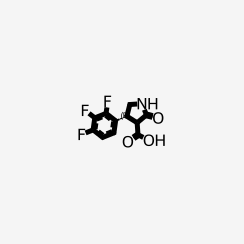 O=C(O)C1C(=O)NC[C@H]1c1ccc(F)c(F)c1F